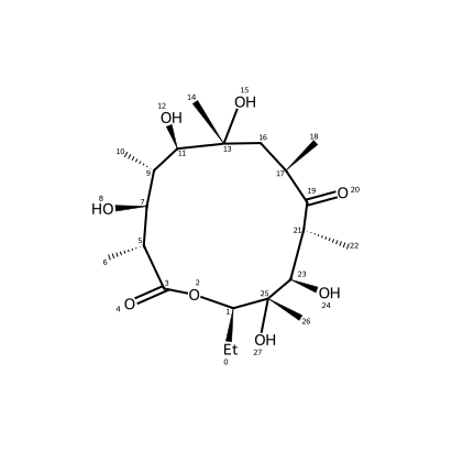 CC[C@H]1OC(=O)[C@H](C)[C@@H](O)[C@H](C)[C@@H](O)[C@](C)(O)C[C@@H](C)C(=O)[C@H](C)[C@@H](O)[C@]1(C)O